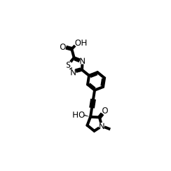 CN1CC[C@@](O)(C#Cc2cccc(-c3nsc(C(=O)O)n3)c2)C1=O